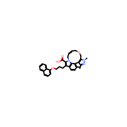 Cc1ccc2c(CCCOc3cccc4ccccc34)c(C(=O)O)n3c2c1-c1c(C)nn(C)c1COCC=CC3